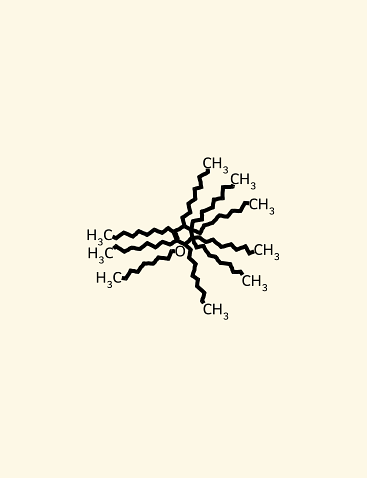 CCCCCCCCCOC1(CCCCCCCCC)C(CCCCCCCCC)=C(CCCCCCCCC)C(CCCCCCCCC)C(CCCCCCCCC)(CCCCCCCCC)C1(CCCCCCCCC)CCCCCCCCC